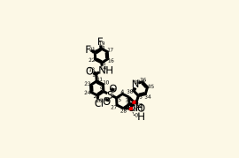 C[C@H]1CC2CC(S(=O)(=O)c3cc(C(=O)Nc4ccc(F)c(F)c4)ccc3Cl)CC1[C@@]2(O)C(O)c1cccnc1